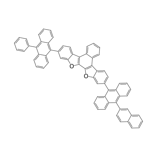 c1ccc(-c2c3ccccc3c(-c3ccc4c(c3)oc3c5oc6cc(-c7c8ccccc8c(-c8ccc9ccccc9c8)c8ccccc78)ccc6c5c5ccccc5c43)c3ccccc23)cc1